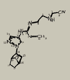 C=N/C(=N\CCNCC#N)Nc1cnn(C2CC3CCC2O3)c1